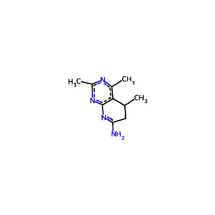 Cc1nc(C)c2c(n1)N=C(N)CC2C